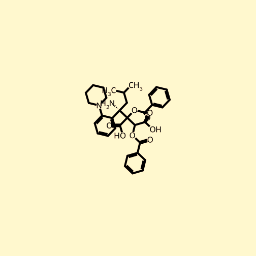 CC(C)C[C@](N)(c1ccccc1N1CCCCC1)C(OC(=O)c1ccccc1)(C(=O)O)C(OC(=O)c1ccccc1)C(=O)O